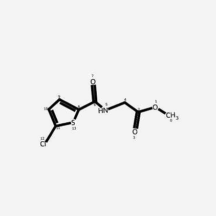 COC(=O)CNC(=O)c1ccc(Cl)s1